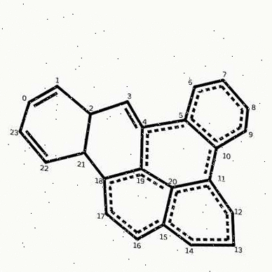 C1=CC2C=c3c4ccccc4c4cccc5ccc(c3c54)C2C=C1